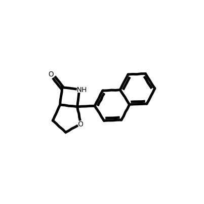 O=C1NC2(c3ccc4ccccc4c3)OCCC12